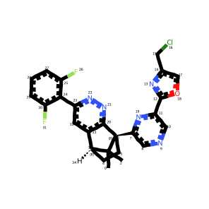 CC1(C)[C@H]2CC[C@@]1(c1cncc(-c3nc(CCl)co3)n1)c1nnc(-c3c(F)cccc3F)cc12